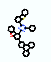 c1ccc(-c2nc(-c3cccc4c3sc3ccccc34)nc(-c3cc(-c4ccc5c6ccccc6c6ccccc6c5c4)cc4oc5ccccc5c34)n2)cc1